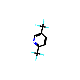 FC(F)(F)c1[c]cc(C(F)(F)F)nc1